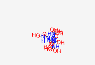 CC(C)(N=NC(C)(C[N+](=NC(C)(C)C(=O)NC(CO)(CO)CO)C(C)(C)C(=O)NC(CO)(CO)CO)C(=O)NCCO)C(=O)NCCO